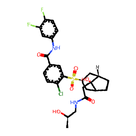 C[C@@H](O)CNC(=O)C[C@@]1(O)C2CC[C@H]1C[C@H](S(=O)(=O)c1cc(C(=O)Nc3ccc(F)c(F)c3)ccc1Cl)C2